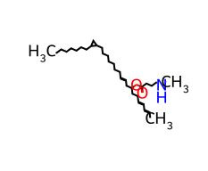 C/C=C/C=C/CCC(C/C=C/CCCCCCCC1CC1CCCCCCCC)OC(=O)CCCNC